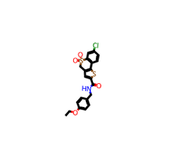 CCOc1ccc(CNC(=O)c2cc3c(s2)-c2ccc(Cl)cc2S(=O)(=O)C3)cc1